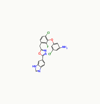 Nc1cc(Cl)cc(Oc2c(Cl)ccc(Cc3nnc(-c4ccc5nc[nH]c5c4)o3)c2F)c1